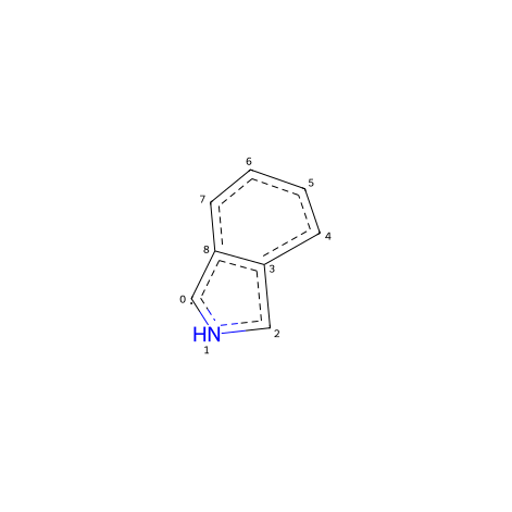 [c]1[nH]cc2ccccc12